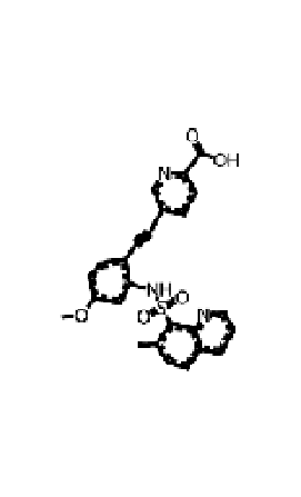 COc1ccc(C#Cc2ccc(C(=O)O)nc2)c(NS(=O)(=O)c2c(C)ccc3cccnc23)c1